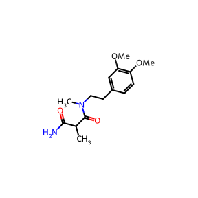 COc1ccc(CCN(C)C(=O)[C](C)C(N)=O)cc1OC